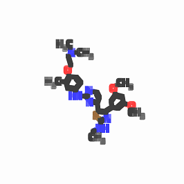 CCNc1nc(C2C=C(OC)C=C(OC)C2)c(-c2ccnc(Nc3ccc(OCCN(C)C)c(C)c3)n2)s1